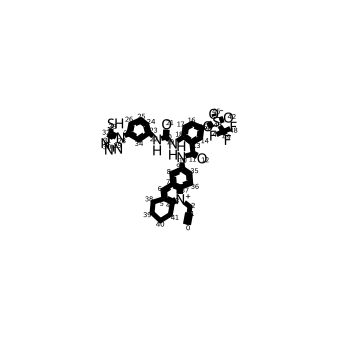 C#CC[n+]1c2c(cc3cc(NC(=O)c4ccccc4NC(=O)Nc4cccc(-n5nnnc5S)c4)ccc31)CCCC2.O=S(=O)([O-])C(F)(F)F